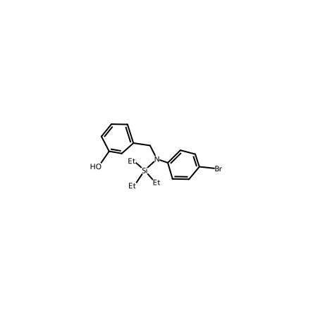 CC[Si](CC)(CC)N(Cc1cccc(O)c1)c1ccc(Br)cc1